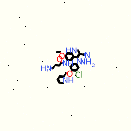 CCOc1cc2c(cc1NC(=O)/C=C/CNC)C(N(N)c1ccc(OCC3=CC=CCN3)c(Cl)c1)=C(C#N)CN2